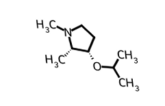 CC(C)O[C@H]1CCN(C)[C@H]1C